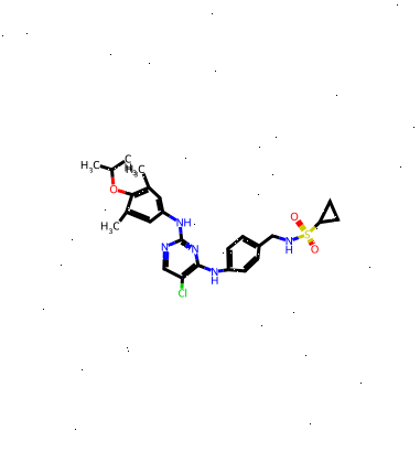 Cc1cc(Nc2ncc(Cl)c(Nc3ccc(CNS(=O)(=O)C4CC4)cc3)n2)cc(C)c1OC(C)C